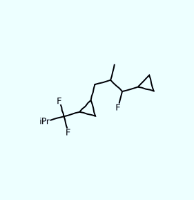 CC(CC1CC1C(F)(F)C(C)C)C(F)C1CC1